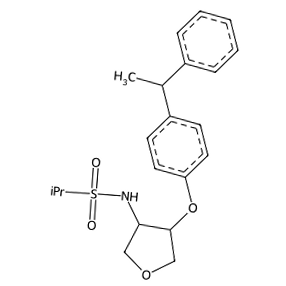 CC(c1ccccc1)c1ccc(OC2COCC2NS(=O)(=O)C(C)C)cc1